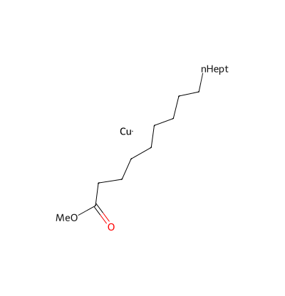 CCCCCCCCCCCCCCCC(=O)OC.[Cu]